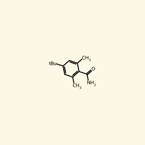 Cc1cc(C(C)(C)C)cc(C)c1C(N)=O